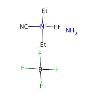 CC[N+](C#N)(CC)CC.F[B-](F)(F)F.N